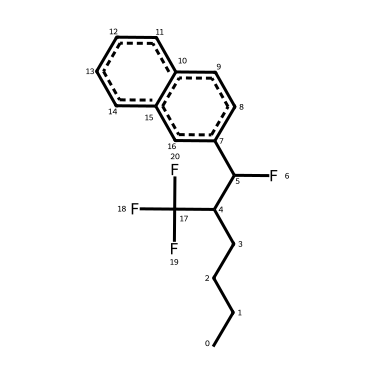 CCCCC(C(F)c1ccc2ccccc2c1)C(F)(F)F